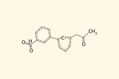 CC(=O)Cc1cccc(-c2cccc([SH](=O)=O)c2)c1